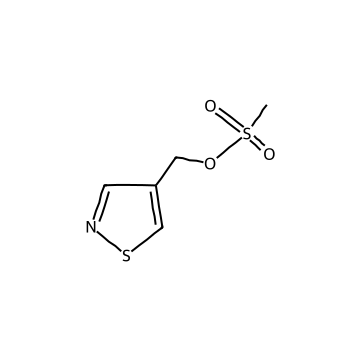 CS(=O)(=O)OCc1cnsc1